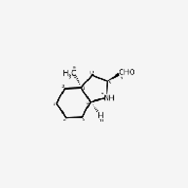 C[C@@]12CCCC[C@@H]1N[C@H](C=O)C2